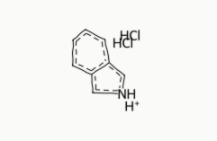 Cl.Cl.[H+].c1ccc2c[nH]cc2c1